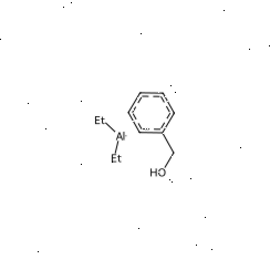 C[CH2][Al][CH2]C.OCc1ccccc1